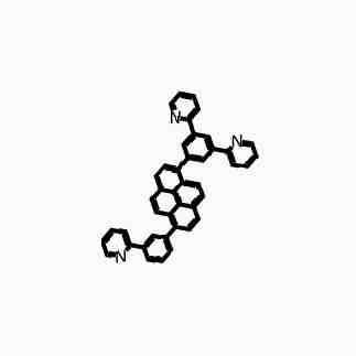 c1ccc(-c2cccc(-c3ccc4ccc5c(-c6cc(-c7ccccn7)cc(-c7ccccn7)c6)ccc6ccc3c4c65)c2)nc1